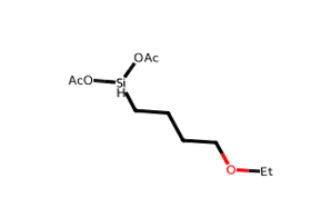 CCOCCCC[SiH](OC(C)=O)OC(C)=O